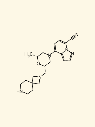 C[C@@H]1CN(c2ccc(C#N)n3nccc23)C[C@H](CN2CC3(CCNCC3)C2)O1